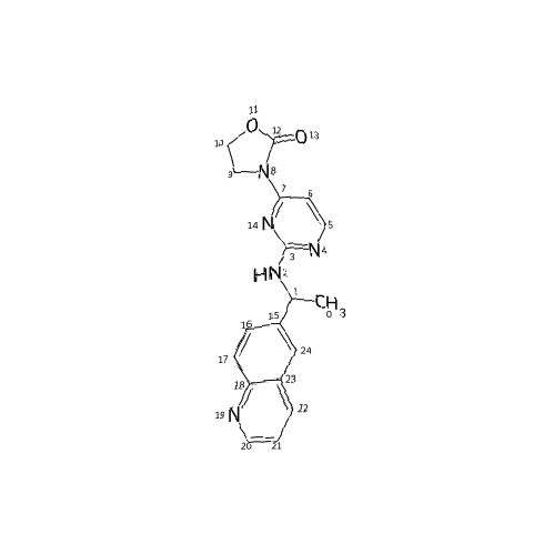 CC(Nc1nccc(N2CCOC2=O)n1)c1ccc2ncccc2c1